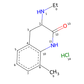 CCNC1Cc2cccc(C)c2NC1=O.Cl